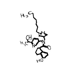 CCCCCCCn1cc(CN(C(=O)C2CCCc3c(O)cccc32)c2ccc(C(C)C)nc2)cn1